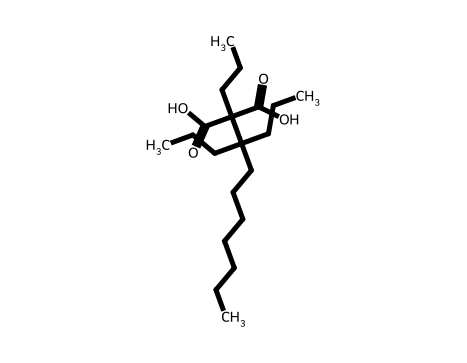 CCCCCCCC(CCC)(CCC)C(CCC)(C(=O)O)C(=O)O